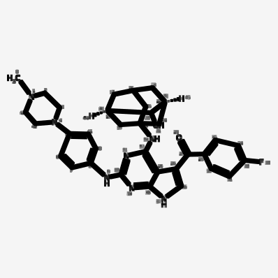 CN1CCN(c2ccc(Nc3nc(NC45CC6C[C@H](C4)C(O)[C@@H](C6)C5)c4c(C(=O)c5ccc(F)cc5)c[nH]c4n3)cc2)CC1